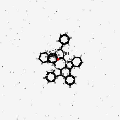 C1=Cc2c3c(n(C4=NC(C5=CCCCC5)NC(c5ccccc5)N4)c2CC1)C1C(c2ccccc2-3)c2ccccc2N1c1ccccc1